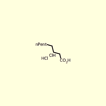 CCCCCCCCC(=O)O.Cl.Cl